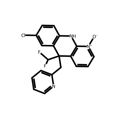 [O-][n+]1cccc2c1Nc1ccc(Cl)cc1C2(Cc1ccccn1)C(F)F